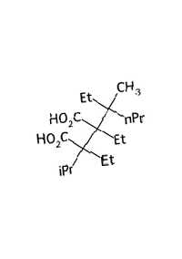 CCCC(C)(CC)C(CC)(C(=O)O)C(CC)(C(=O)O)C(C)C